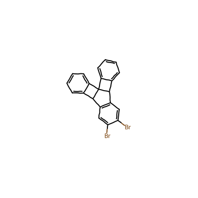 Brc1cc2c(cc1Br)C1c3ccccc3C13c1ccccc1C23